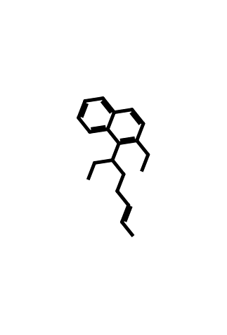 C/C=C/CCC(CC)c1c(CC)ccc2ccccc12